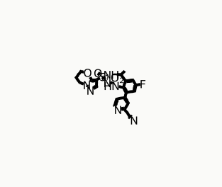 CC(C)c1cc(F)cc(-c2ccnc(C#N)c2)c1NC(=O)N=[S@](N)(=O)c1cnn2c1OCCC2